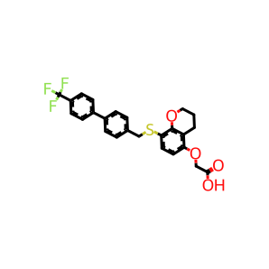 O=C(O)COc1ccc(SCc2ccc(-c3ccc(C(F)(F)F)cc3)cc2)c2c1CCCO2